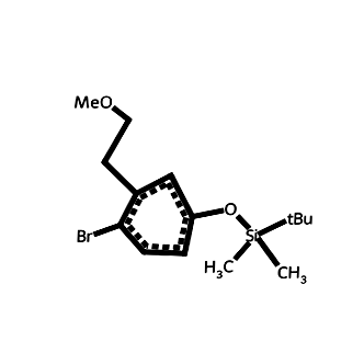 COCCc1cc(O[Si](C)(C)C(C)(C)C)ccc1Br